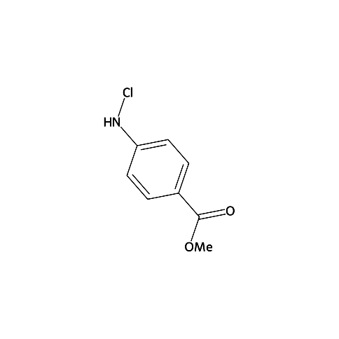 COC(=O)c1ccc(NCl)cc1